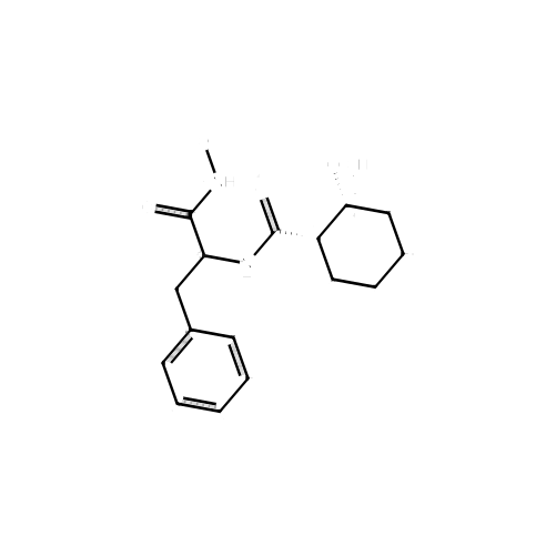 O=C(NO)C(Cc1ccccc1)NC(=O)[C@H]1CCCC[C@H]1C(=O)O